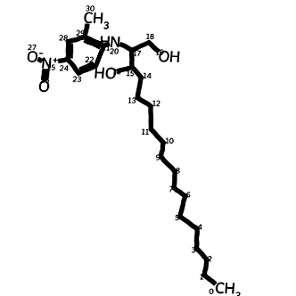 CCCCCCCCCCCCCCCC(O)C(CO)Nc1ccc([N+](=O)[O-])cc1C